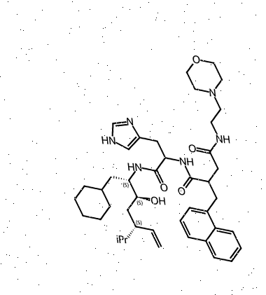 C=C[C@@H](C[C@H](O)[C@H](CC1CCCCC1)NC(=O)C(Cc1c[nH]cn1)NC(=O)C(CC(=O)NCCN1CCOCC1)Cc1cccc2ccccc12)C(C)C